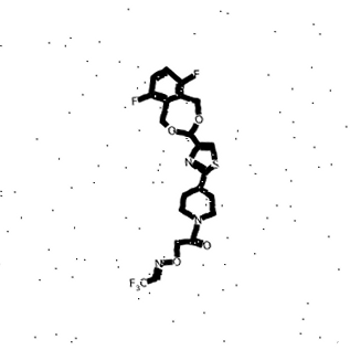 O=C(CON=CC(F)(F)F)N1CCC(c2nc(C3OCc4c(F)ccc(F)c4CO3)cs2)CC1